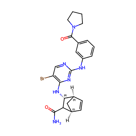 NC(=O)C1[C@@H]2C=C[C@@H](C2)[C@H]1Nc1nc(Nc2cccc(C(=O)N3CCCC3)c2)ncc1Br